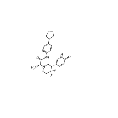 C[C@@H](C(=O)Nc1ccc(C2CCCC2)cn1)N1CCC(F)(F)[C@@H](c2ccc(=O)[nH]c2)C1